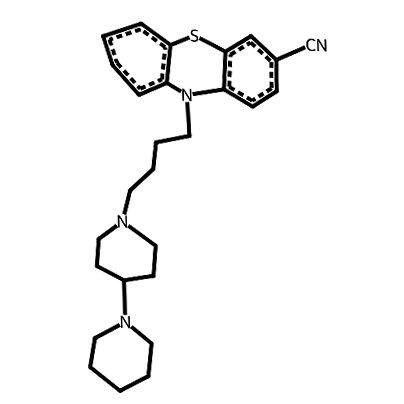 N#Cc1ccc2c(c1)Sc1ccccc1N2CCCCN1CCC(N2CCCCC2)CC1